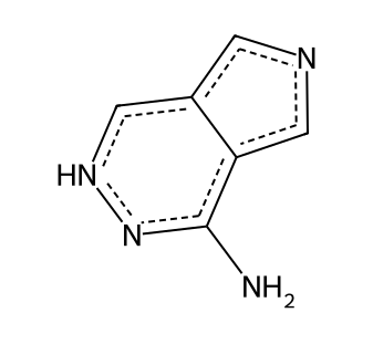 Nc1n[nH]cc2cncc1-2